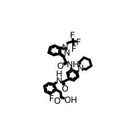 O=C(O)Cc1c(F)cccc1NC(=O)c1ccc(N2CCCCC2)c(NC(=O)c2nn(CC(F)(F)F)c3ccccc23)c1